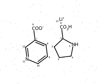 O=C(O)C1CCCN1.O=C([O-])c1cccnc1.[Li+]